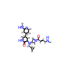 CNCC=CC(=O)N1CC(N(CC2CC2)c2cc(-c3ccnc(NC)c3)c[nH]c2=O)C1